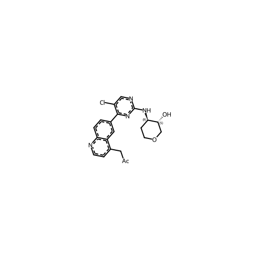 CC(=O)Cc1ccnc2ccc(-c3nc(N[C@@H]4CCOC[C@H]4O)ncc3Cl)cc12